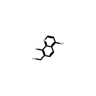 OCc1ccc2c(O)ccnc2c1Cl